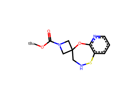 CC(C)(C)OC(=O)N1CC2(CNSc3cccnc3O2)C1